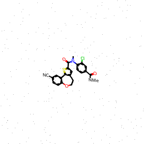 CNC(=O)c1ccc(N(C)C(=O)c2cc3c(s2)-c2cc(C#N)ccc2OCC3)c(Cl)c1